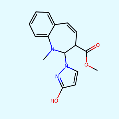 COC(=O)C1C=Cc2ccccc2N(C)C1n1ccc(O)n1